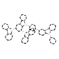 c1ccc(-n2c3ccccc3c3cc(-c4ccc(-n5c6ccccc6c6cc(-n7c8ccccc8c8ccccc87)cc(-n7c8ccccc8c8ccccc87)c65)cc4)ccc32)cc1